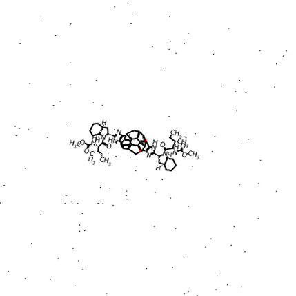 CC[C@H](C)[C@H](NC(=O)OC)C(=O)N1[C@H](c2nc3cc(-c4cc5ccc4CCc4ccc(c(-c6ccc7[nH]c([C@@H]8C[C@@H]9CCCC[C@@H]9N8C(=O)[C@@H](NC(=O)OC)[C@@H](C)CC)nc7c6)c4)CC5)ccc3[nH]2)C[C@@H]2CCCC[C@@H]21